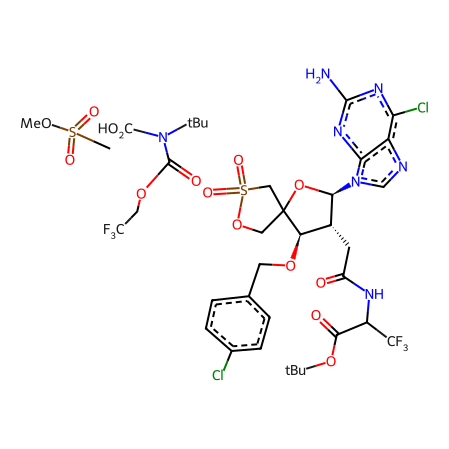 CC(C)(C)N(C(=O)O)C(=O)OCC(F)(F)F.CC(C)(C)OC(=O)C(NC(=O)C[C@H]1[C@H](n2cnc3c(Cl)nc(N)nc32)OC2(COS(=O)(=O)C2)[C@@H]1OCc1ccc(Cl)cc1)C(F)(F)F.COS(C)(=O)=O